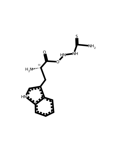 NC(=S)NNOC(=O)[C@@H](N)Cc1c[nH]c2ccccc12